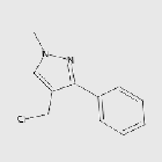 Cn1cc(CCl)c(-c2ccccc2)n1